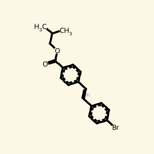 CC(C)COC(=O)c1ccc(/C=C/c2ccc(Br)cc2)cc1